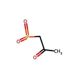 CC(=O)CP(=O)=O